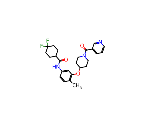 Cc1ccc(NC(=O)C2CCC(F)(F)CC2)cc1OC1CCN(C(=O)c2cccnc2)CC1